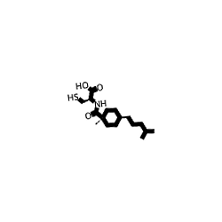 CC(C)CCC[C@H]1CC[C@@](C)(C(=O)N[C@@H](CS)C(=O)O)CC1